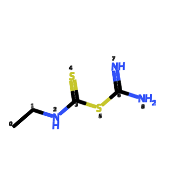 CCNC(=S)SC(=N)N